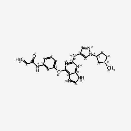 C=CC(=O)Nc1cccc(Oc2nc(Nc3cnn(C4CCN(C)C4)c3)nc3[nH]cnc23)c1